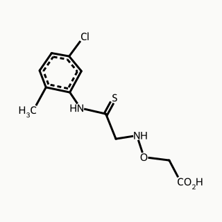 Cc1ccc(Cl)cc1NC(=S)CNOCC(=O)O